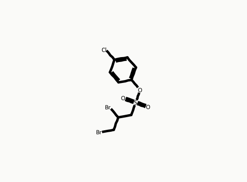 O=S(=O)(CC(Br)CBr)Oc1ccc(Cl)cc1